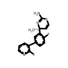 C[C@@]1(c2cc(-c3cccnc3F)ccc2F)C=CSC(N)=N1